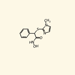 Cn1ccnc1SC(C(=O)NO)c1ccccc1